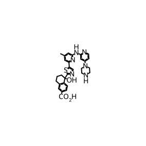 Cc1cc(Nc2cc(N3CCNCC3)ccn2)nc(-c2cnc(C3(O)CCCc4cc(C(=O)O)ccc43)s2)c1